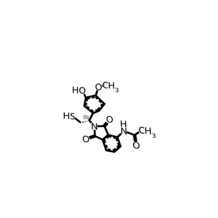 COc1ccc([C@@H](CS)N2C(=O)c3cccc(NC(C)=O)c3C2=O)cc1O